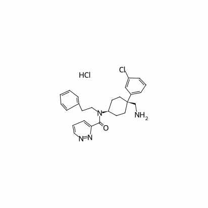 Cl.NC[C@]1(c2cccc(Cl)c2)CC[C@H](N(CCc2ccccc2)C(=O)c2cccnn2)CC1